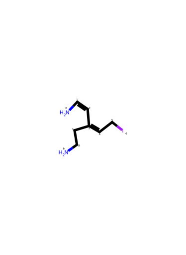 N/C=C\C(=C/CI)CCN